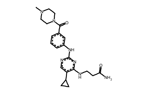 CN1CCN(C(=O)c2cccc(Nc3ncc(C4CC4)c(NCCC(N)=O)n3)c2)CC1